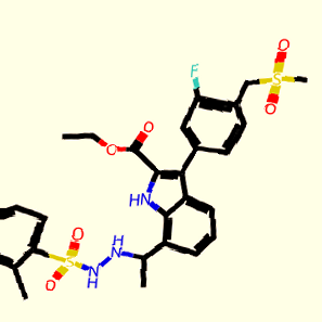 CCOC(=O)c1[nH]c2c(C(C)NNS(=O)(=O)c3ccccc3C)cccc2c1-c1ccc(CS(C)(=O)=O)c(F)c1